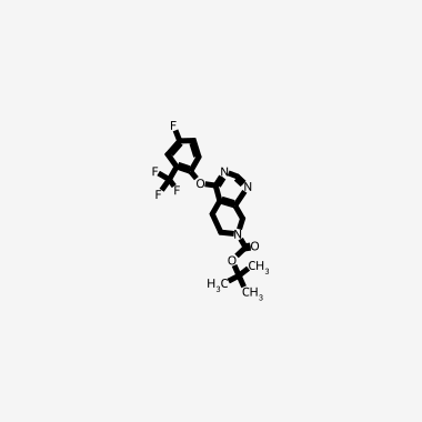 CC(C)(C)OC(=O)N1CCc2c(ncnc2Oc2ccc(F)cc2C(F)(F)F)C1